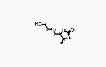 CC1OC(=O)OC1COCCC#N